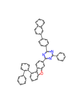 c1ccc(-c2nc(-c3ccc(-c4ccc5ccccc5c4)cc3)nc(-c3ccc4c(c3)oc3cccc(-c5ccccc5-c5ccccc5)c34)n2)cc1